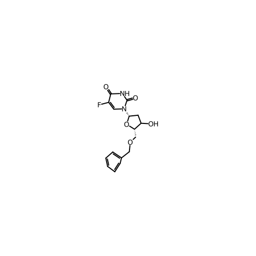 O=c1[nH]c(=O)n([C@@H]2CC(O)[C@H](COCc3ccccc3)O2)cc1F